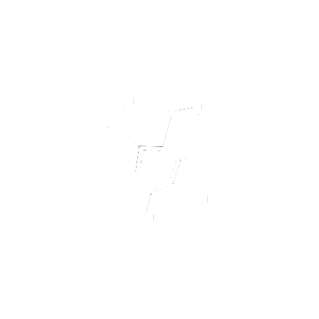 Bc1cc(OC)c(OC)cc1C